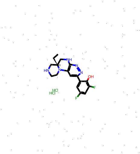 CC[C@]12CNCCN1c1cc(-c3cc(F)cc(F)c3O)nnc1NC2.Cl.Cl